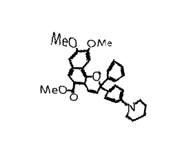 COC(=O)c1cc2cc(OC)c(OC)cc2c2c1C=CC(c1ccccc1)(c1ccc(N3CCCCC3)cc1)O2